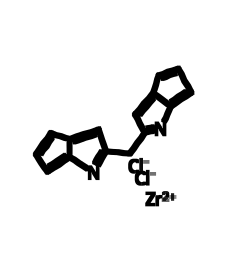 C1=CC2=CC(CC3=NC4=CC=CC4=C3)=NC2=C1.[Cl-].[Cl-].[Zr+2]